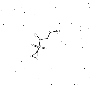 CN(CCO)S(=O)(=O)C1CC1